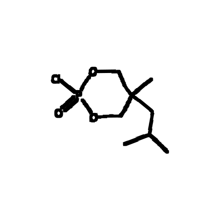 CC(C)CC1(C)COP(=O)(Cl)OC1